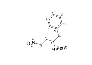 CCCCCC(CC[N+](=O)[O-])Cc1ccccc1